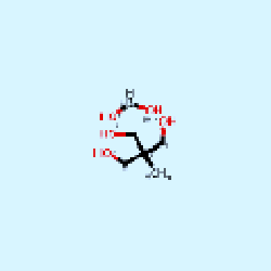 CC(CO)(CO)CO.OBO